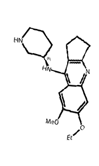 CCOc1cc2nc3c(c(N[C@@H]4CCCNC4)c2cc1OC)CCC3